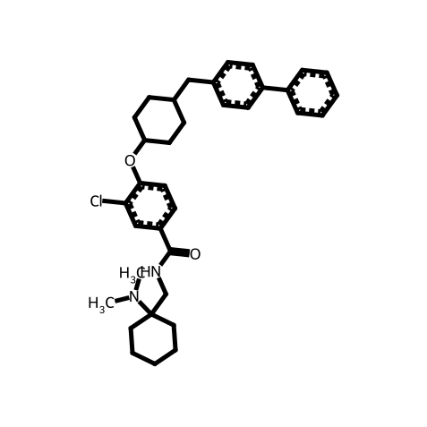 CN(C)C1(CNC(=O)c2ccc(OC3CCC(Cc4ccc(-c5ccccc5)cc4)CC3)c(Cl)c2)CCCCC1